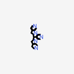 C1=NCCC2=C1N1c3cncc4c3C(C1C2)C1Cc2ccncc2N41